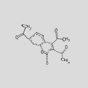 CC(=O)c1ccc2c(C(C)=O)c(C(C)=O)c(=O)oc2c1